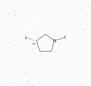 I[C@H]1CCN(I)C1